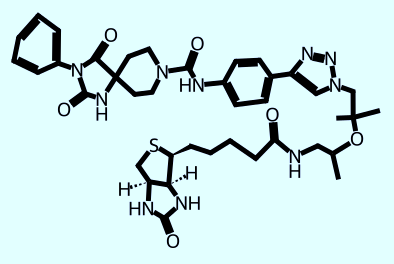 CC(CNC(=O)CCCC[C@@H]1SC[C@@H]2NC(=O)N[C@@H]21)OC(C)(C)Cn1cc(-c2ccc(NC(=O)N3CCC4(CC3)NC(=O)N(c3ccccc3)C4=O)cc2)nn1